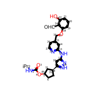 CC(C)NC(=O)O[C@@H]1CC[C@H](c2cc(Nc3cc(COc4cccc(O)c4C=O)ccn3)n[nH]2)C1